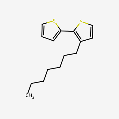 CCCCCCCc1ccsc1-c1cccs1